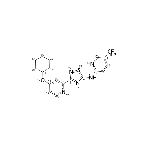 FC(F)(F)c1ccc(Nc2nc(-c3cc(OC4CCCCC4)ccn3)ns2)nc1